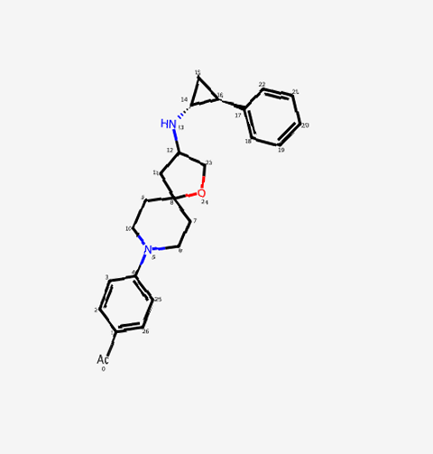 CC(=O)c1ccc(N2CCC3(CC2)CC(N[C@@H]2C[C@H]2c2ccccc2)CO3)cc1